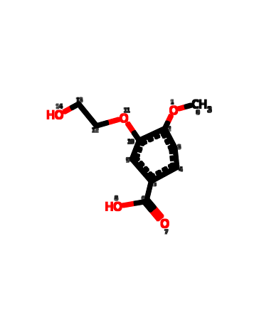 COc1ccc(C(=O)O)cc1OCCO